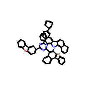 c1ccc(-c2ccc(-c3nc(-c4ccc5oc6ccccc6c5c4)nc(-c4c(-n5c6cc7ccccc7cc6c6ccc7ccccc7c65)c5sc6ccccc6c5c5ccccc45)n3)cc2)cc1